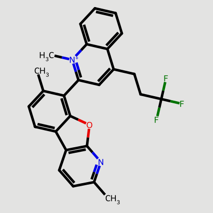 Cc1ccc2c(n1)oc1c(-c3cc(CCC(F)(F)F)c4ccccc4[n+]3C)c(C)ccc12